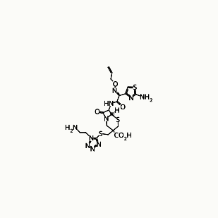 C=CCON=C(C(=O)NC1C(=O)N2CC(CSc3nnnn3CCN)(C(=O)O)CS[C@H]12)c1csc(N)n1